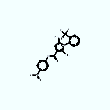 Cc1cc(C(=O)Nc2ccc([N+](=O)[O-])cc2)c(C)n1-c1ccccc1C(F)(F)F